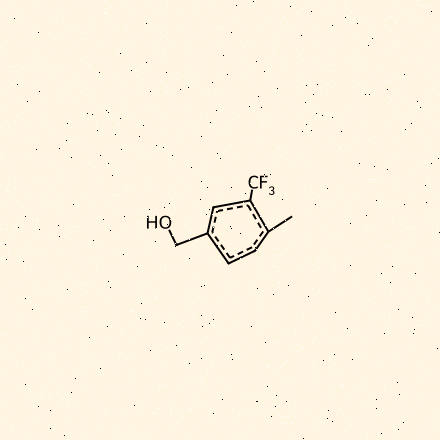 Cc1ccc(CO)cc1C(F)(F)F